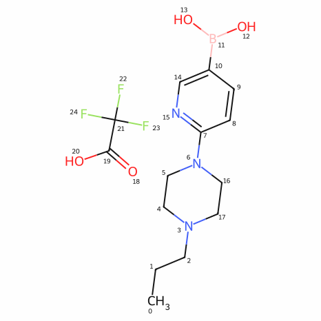 CCCN1CCN(c2ccc(B(O)O)cn2)CC1.O=C(O)C(F)(F)F